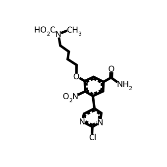 CN(CCCCOc1cc(C(N)=O)cc(-c2cnc(Cl)nc2)c1[N+](=O)[O-])C(=O)O